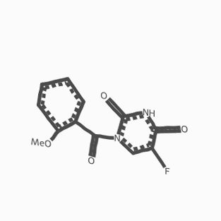 COc1ccccc1C(=O)n1cc(F)c(=O)[nH]c1=O